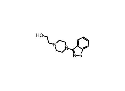 OCCN1CCN(c2nsc3ccccc23)CC1